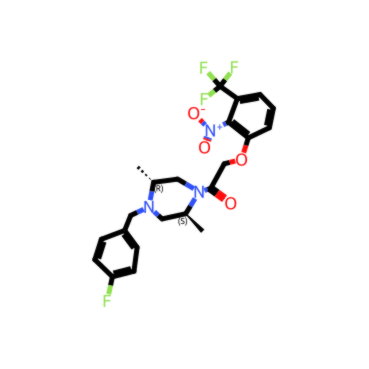 C[C@@H]1CN(C(=O)COc2cccc(C(F)(F)F)c2[N+](=O)[O-])[C@@H](C)CN1Cc1ccc(F)cc1